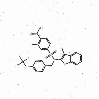 Cc1c(N(Cc2ccc(OC(F)(F)F)cc2)S(=O)(=O)c2ccc(C(=O)O)c(F)c2)sc2ccccc12